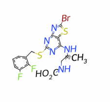 C[C@H](CNC(=O)O)Nc1nc(SCc2cccc(F)c2F)nc2nc(Br)sc12